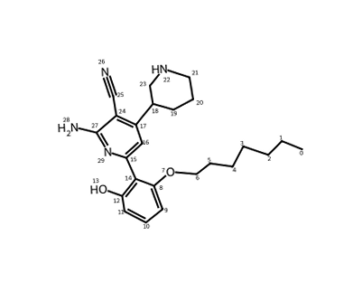 CCCCCCCOc1cccc(O)c1-c1cc(C2CCCNC2)c(C#N)c(N)n1